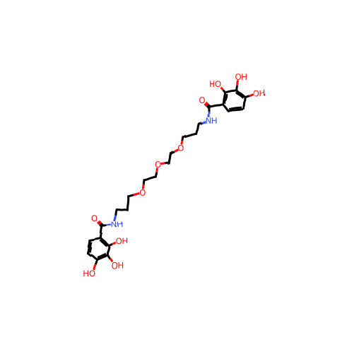 O=C(NCCCOCCOCCOCCCNC(=O)c1ccc(O)c(O)c1O)c1ccc(O)c(O)c1O